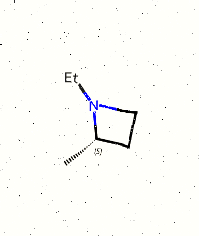 CCN1CC[C@@H]1C